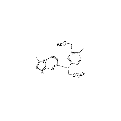 CCOC(=O)CC(c1ccc(C)c(COC(C)=O)c1)c1ccn2c(C)nnc2c1